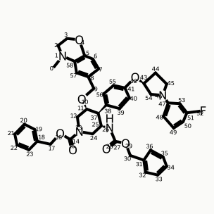 CN1CCOc2ccc(CO[C@H]3CN(C(=O)OCc4ccccc4)C[C@@H](NC(=O)OCc4ccccc4)[C@@H]3c3ccc(O[C@H]4CCN(c5cccc(F)c5)C4)cc3)cc21